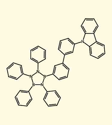 c1ccc(B2N(c3ccccc3)B(c3cccc(-c4cccc(-n5c6ccccc6c6ccccc65)c4)c3)N(c3ccccc3)N2c2ccccc2)cc1